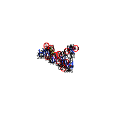 CCC(C)C(C(CC(=O)N1CCC[C@H]1C(OC)C(C)C(=S)NC(Cc1ccccc1)C(=O)OC)OC)N(C)C(=O)C(NC(=O)C(C(C)C)N(C)C(=O)CCCCCN1C(=O)C=CC1=O)C(C)C